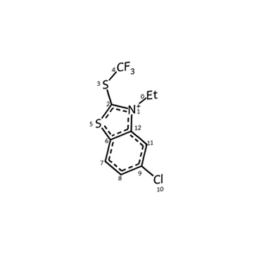 CC[n+]1c(SC(F)(F)F)sc2ccc(Cl)cc21